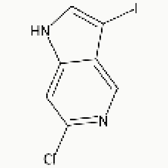 Clc1cc2[nH]cc(I)c2cn1